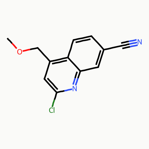 COCc1cc(Cl)nc2cc(C#N)ccc12